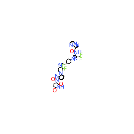 CN(CC[C@H]1CC[C@H](n2cc(NC(=O)c3cnn4cccnc34)c(C(F)F)n2)CC1)C1CCN(c2cccc3c2n(C)c(=O)n3C2CCC(=O)NC2=O)CC1(F)F